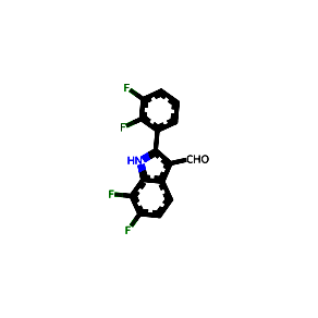 O=Cc1c(-c2cccc(F)c2F)[nH]c2c(F)c(F)ccc12